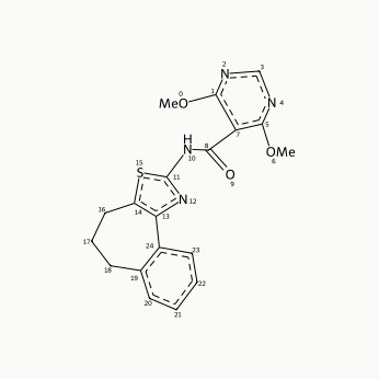 COc1ncnc(OC)c1C(=O)Nc1nc2c(s1)CCCc1ccccc1-2